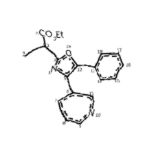 CCOC(=O)C(C)c1nc(-c2cccnc2)c(-c2ccccc2)o1